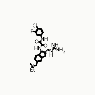 CCN(C)Cc1ccc2c(c1)C[C@H](CNC(=N)N)[C@H]2NC(=O)C(=O)Nc1ccc(Cl)c(F)c1